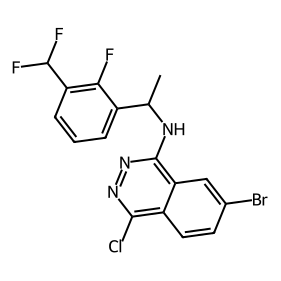 CC(Nc1nnc(Cl)c2ccc(Br)cc12)c1cccc(C(F)F)c1F